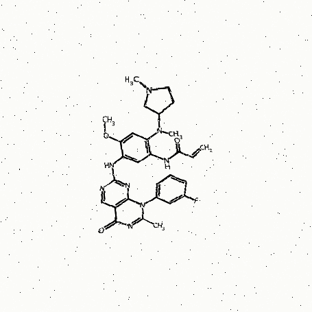 C=CC(=O)Nc1cc(Nc2ncc3c(=O)nc(C)n(-c4cccc(F)c4)c3n2)c(OC)cc1N(C)C1CCN(C)C1